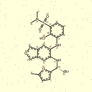 Cc1ccc([C@H](Nc2nc3nonc3nc2Nc2cccc(S(=O)(=O)N(C)C)c2O)C(C)(C)C)o1